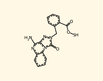 Nc1nc2ccccc2n2c(=O)n(Cc3ccccc3C(=O)OS)nc12